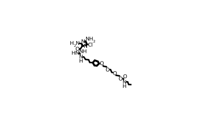 CCCNC(=O)OCCOCCOCCOc1ccc(CCCCNC(=N)NC(=O)c2nc(Cl)c(N)nc2N)cc1